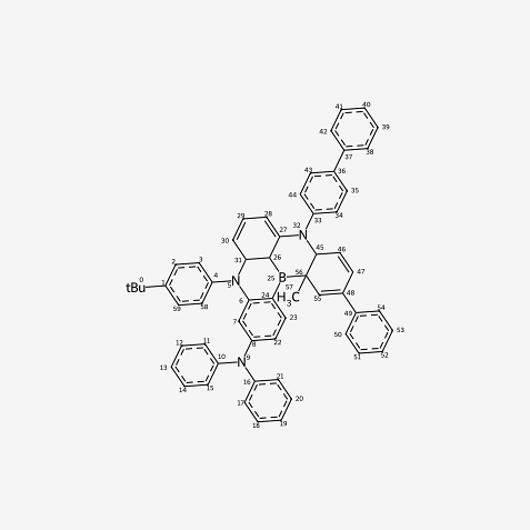 CC(C)(C)c1ccc(N2c3cc(N(c4ccccc4)c4ccccc4)ccc3B3C4C(=CC=CC42)N(c2ccc(-c4ccccc4)cc2)C2C=CC(c4ccccc4)=CC32C)cc1